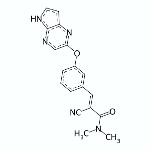 CN(C)C(=O)/C(C#N)=C/c1cccc(Oc2cnc3[nH]ccc3n2)c1